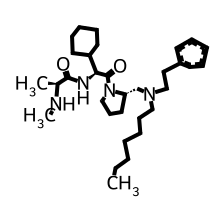 CCCCCCCN(CCc1ccccc1)C[C@@H]1CCCN1C(=O)[C@@H](NC(=O)[C@H](C)NC)C1CCCCC1